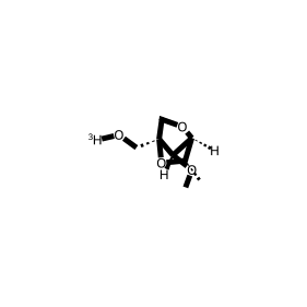 [3H]OC[C@@]12CO[C@@H]([C@H](C)O1)[C@@H]2OC